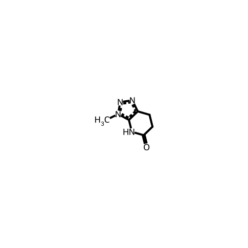 Cn1nnc2c1NC(=O)CC2